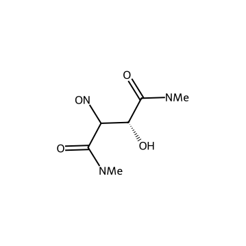 CNC(=O)C(N=O)[C@@H](O)C(=O)NC